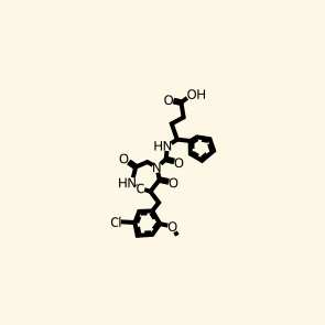 COc1ccc(Cl)cc1CC1CNC(=O)CN(C(=O)NC(CCC(=O)O)c2ccccc2)C1=O